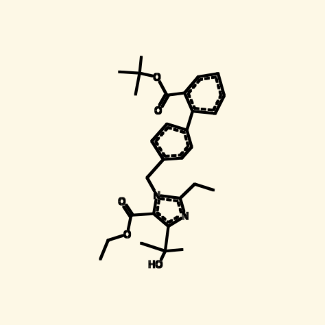 CCOC(=O)c1c(C(C)(C)O)nc(CC)n1Cc1ccc(-c2ccccc2C(=O)OC(C)(C)C)cc1